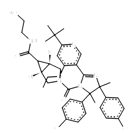 CCOc1cc(C(C)(C)C)ncc1C1=NC(C)(c2ccc(Cl)cc2)C(C)(c2ccc(Cl)cc2)N1C(=O)N1C[C@@H]2C(C(=O)NCCO)[C@@H]2C1